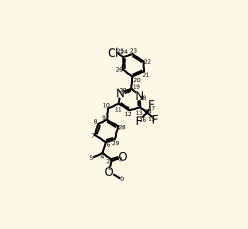 COC(=O)C(C)c1ccc(Cc2cc(C(F)(F)F)nc(-c3cccc(Cl)c3)n2)cc1